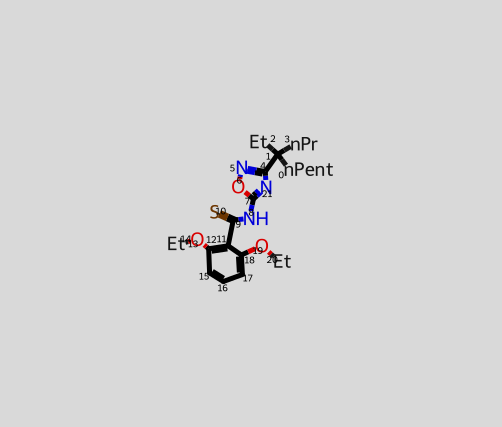 CCCCCC(CC)(CCC)c1noc(NC(=S)c2c(OCC)cccc2OCC)n1